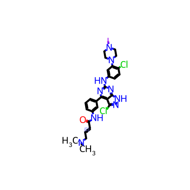 CN(C)C/C=C/C(=O)Nc1cccc(-c2nc(Nc3ccc(Cl)c(N4CCN(I)CC4)c3)nc3[nH]nc(Cl)c23)c1